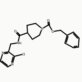 O=C(NCc1nccnc1Cl)C1CCN(C(=O)OCc2ccccc2)CC1